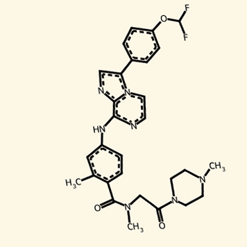 Cc1cc(Nc2nccn3c(-c4ccc(OC(F)F)cc4)cnc23)ccc1C(=O)N(C)CC(=O)N1CCN(C)CC1